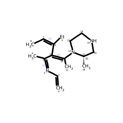 C=C\N=C(C)/C(C(=C\C)/CC)=C(\C)N1CCNC[C@@H]1C